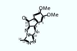 COc1cc2c(cc1OC)-c1nc3nnc(C)n3nc1C2=O